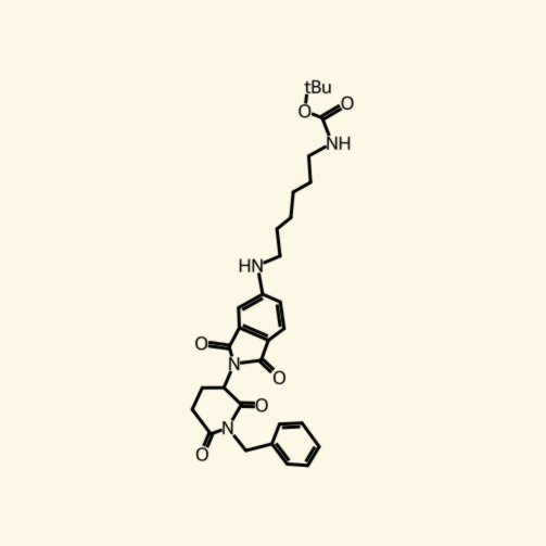 CC(C)(C)OC(=O)NCCCCCCNc1ccc2c(c1)C(=O)N(C1CCC(=O)N(Cc3ccccc3)C1=O)C2=O